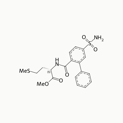 COC(=O)[C@H](CCSC)NC(=O)c1ccc(S(N)(=O)=O)cc1-c1ccccc1